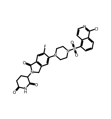 O=C1CCC(N2Cc3cc(N4CCN(S(=O)(=O)c5cccc6c(Cl)nccc56)CC4)c(F)cc3C2=O)C(=O)N1